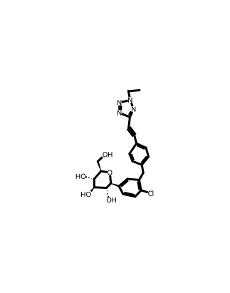 CCn1nnc(C#Cc2ccc(Cc3cc([C@@H]4O[C@H](CO)[C@@H](O)[C@H](O)[C@H]4O)ccc3Cl)cc2)n1